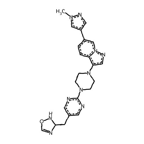 Cn1cc(-c2ccc3c(N4CCN(c5ncc(CC6N=CON6)cn5)CC4)cnn3c2)cn1